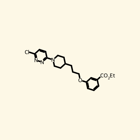 CCOC(=O)c1cccc(OCCCC2CCN(c3ccc(Cl)nn3)CC2)c1